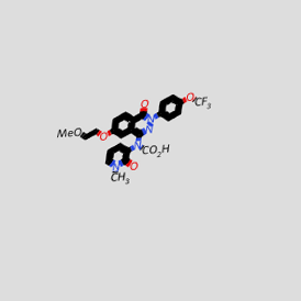 COCCOc1ccc2c(=O)n(-c3ccc(OC(F)(F)F)cc3)nc(N(C(=O)O)c3cccn(C)c3=O)c2c1